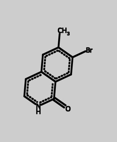 Cc1cc2cc[nH]c(=O)c2cc1Br